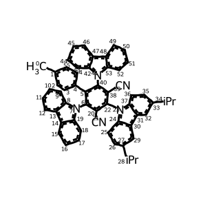 Cc1ccc(-c2c(-n3c4ccccc4c4ccccc43)c(C#N)c(-n3c4ccc(C(C)C)cc4c4cc(C(C)C)ccc43)c(C#N)c2-n2c3ccccc3c3ccccc32)cc1